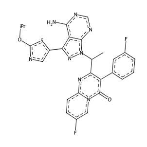 CC(C)Oc1ncc(-c2nn(C(C)c3nc4ccc(F)cn4c(=O)c3-c3cccc(F)c3)c3ncnc(N)c23)s1